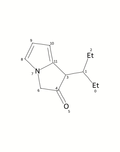 CCC(CC)C1C(=O)Cn2cccc21